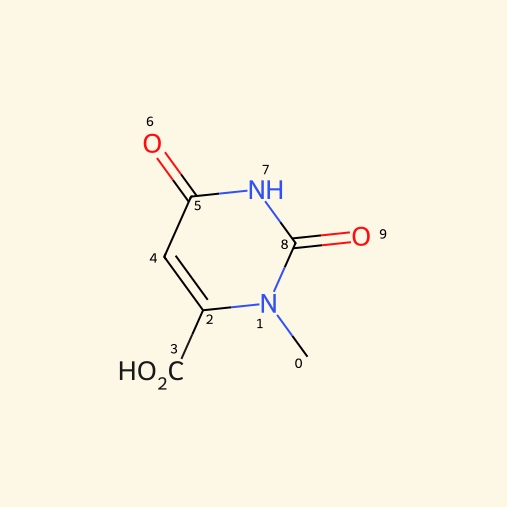 Cn1c(C(=O)O)cc(=O)[nH]c1=O